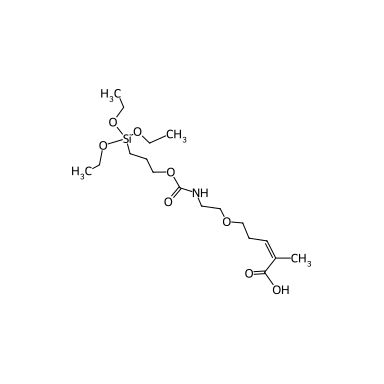 CCO[Si](CCCOC(=O)NCCOCCC=C(C)C(=O)O)(OCC)OCC